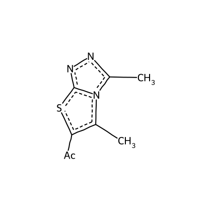 CC(=O)c1sc2nnc(C)n2c1C